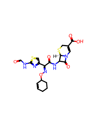 O=CNc1nc(C(=NOC2C=CCCC2)C(=O)NC2C(=O)N3C=C(C(=O)O)CS[C@H]23)cs1